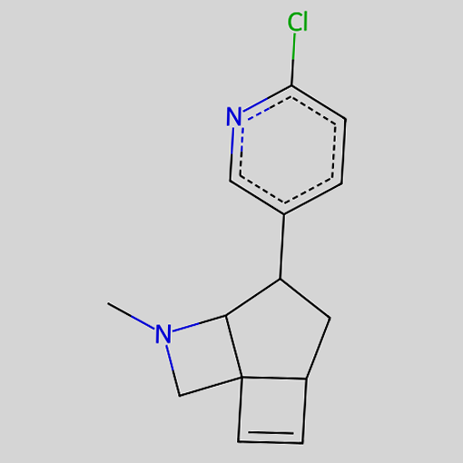 CN1CC23C=CC2CC(c2ccc(Cl)nc2)C13